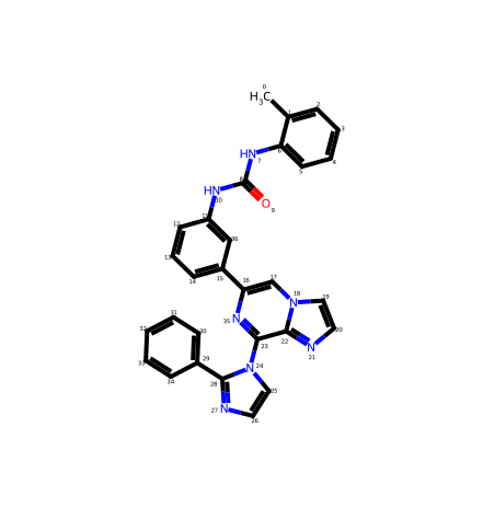 Cc1ccccc1NC(=O)Nc1cccc(-c2cn3ccnc3c(-n3ccnc3-c3ccccc3)n2)c1